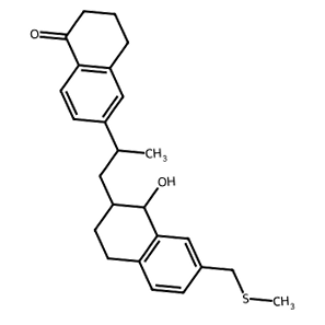 CSCc1ccc2c(c1)C(O)C(CC(C)c1ccc3c(c1)CCCC3=O)CC2